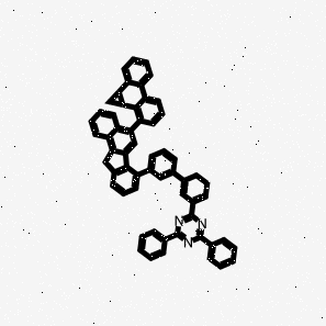 C1=C(c2cccc(-c3cccc4c3-c3cc(-c5cccc6c5C5CC5c5ccccc5-6)c5ccccc5c3C4)c2)CCC=C1c1nc(-c2ccccc2)nc(-c2ccccc2)n1